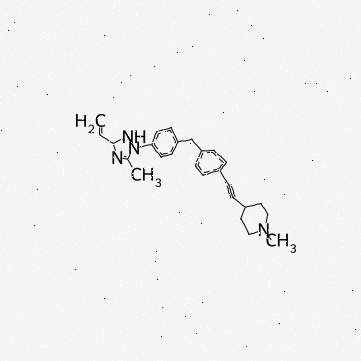 C=CC1N=C(C)N(c2ccc(Cc3ccc(C#CC4CCN(C)CC4)cc3)cc2)N1